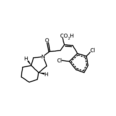 O=C(O)/C(=C/c1c(Cl)cccc1Cl)CC(=O)N1C[C@H]2CCCC[C@H]2C1